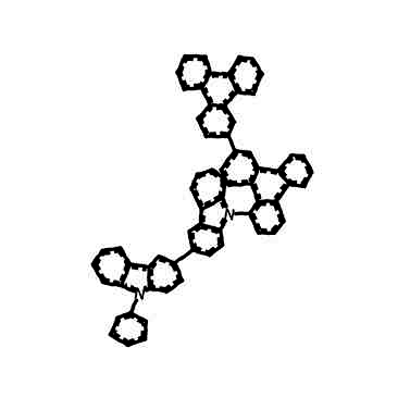 c1ccc(-n2c3ccccc3c3cc(-c4ccc5c(c4)c4ccccc4n5-c4cccc5c6ccccc6c6cc(-c7ccc8c9ccccc9c9ccccc9c8c7)ccc6c45)ccc32)cc1